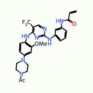 C=CC(=O)Nc1cccc(Nc2ncc(C(F)(F)F)c(Nc3ccc(N4CCN(C(C)=O)CC4)cc3OC)n2)c1